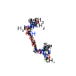 C=C(F)C(=O)N1CCN(c2nc(OC[C@@H]3CCCN3CCCOCCOCCOCCNC(=O)c3ccc(Nc4ncc5c(n4)N(C4CCCC4)[C@H](CC)C(=O)N5C)c(OC)c3)nc3c2CCN(c2cccc4cccc(Cl)c24)C3)C[C@@H]1CC#N